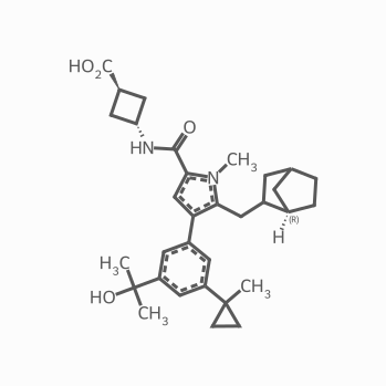 Cn1c(C(=O)N[C@H]2C[C@H](C(=O)O)C2)cc(-c2cc(C(C)(C)O)cc(C3(C)CC3)c2)c1CC1CC2CC[C@@H]1C2